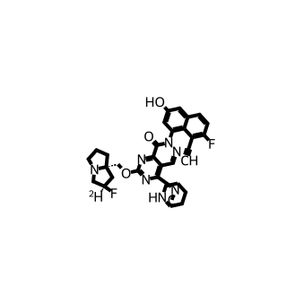 [2H][C@]1(F)CN2CCC[C@@]2(COc2nc(N3CC4CCC3CN4)c3cnn(-c4cc(O)cc5ccc(F)c(C#C)c45)c(=O)c3n2)C1